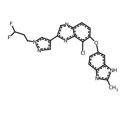 Cc1nc2ccc(Oc3ccc4ncc(-c5cnn(CCC(F)F)c5)nc4c3Cl)cc2[nH]1